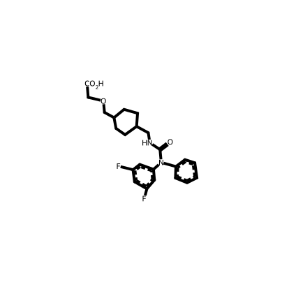 O=C(O)COCC1CCC(CNC(=O)N(c2ccccc2)c2cc(F)cc(F)c2)CC1